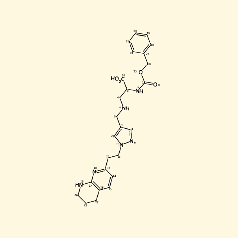 O=C(NC(CNCc1cnn(CCc2ccc3c(n2)NCCC3)c1)C(=O)O)OCc1ccccc1